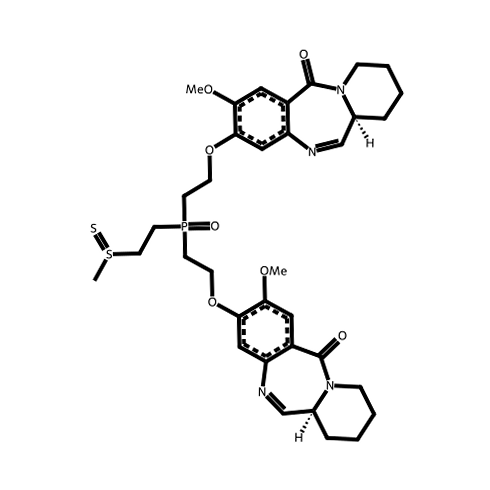 COc1cc2c(cc1OCCP(=O)(CCOc1cc3c(cc1OC)C(=O)N1CCCC[C@H]1C=N3)CCS(C)=S)N=C[C@@H]1CCCCN1C2=O